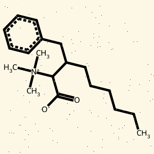 CCCCCCC(Cc1ccccc1)C(C(=O)[O-])[N+](C)(C)C